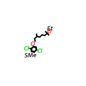 CCOC(C)(C)CCCC(C)CCOc1cc(Cl)c(SC)cc1Cl